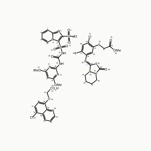 CCS(=O)(=O)c1nc2ccccn2c1S(=O)(=O)NC(=O)Nc1nc(OC)cc(OC)n1.COC(=O)CSc1cc(/N=c2\sc(=O)n3n2CCCC3)c(F)cc1Cl.O=C(O)COc1ccc(Cl)c2cccnc12